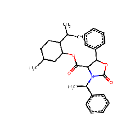 CC1CCC(C(C)C)C(OC(=O)C2C(c3ccccc3)OC(=O)N2[C@H](C)c2ccccc2)C1